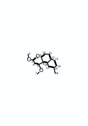 COC(=O)/C=C(/OC)c1cccc2ccc(C)cc12